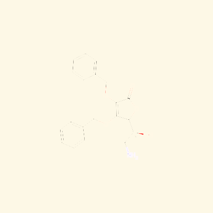 NC[C@H](O)C1OC(=O)C(OCc2ccccc2)=C1OCc1ccccc1